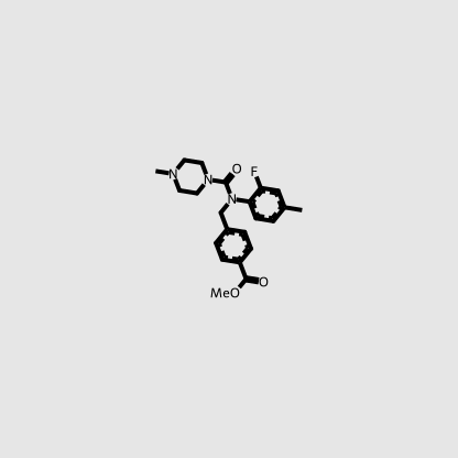 COC(=O)c1ccc(CN(C(=O)N2CCN(C)CC2)c2ccc(C)cc2F)cc1